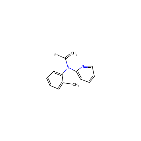 C=C(CC)N(c1ccccn1)c1ccccc1C